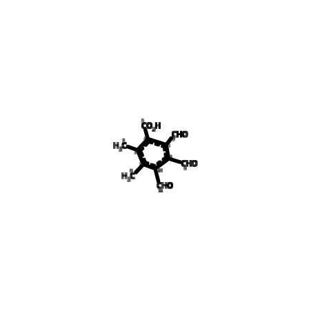 Cc1c(C)c(C(=O)O)c(C=O)c(C=O)c1C=O